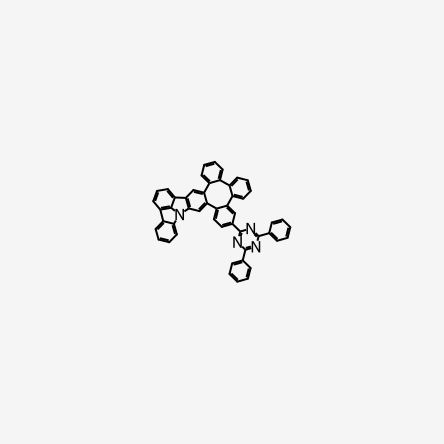 c1ccc(-c2nc(-c3ccccc3)nc(-c3ccc4c(c3)-c3ccccc3-c3ccccc3-c3cc5c6cccc7c8ccccc8n(c5cc3-4)c76)n2)cc1